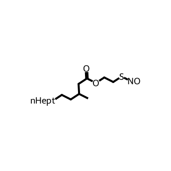 CCCCCCCCCC(C)CC(=O)OCCSN=O